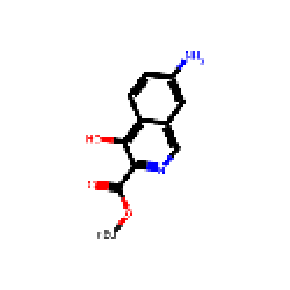 CCCCOC(=O)c1ncc2cc(N)ccc2c1O